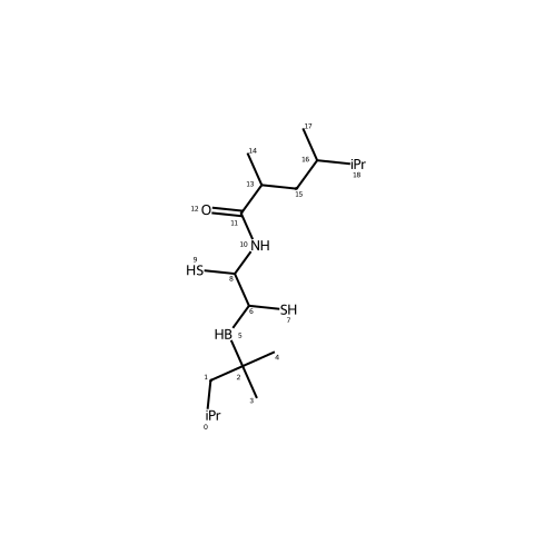 CC(C)CC(C)(C)BC(S)C(S)NC(=O)C(C)CC(C)C(C)C